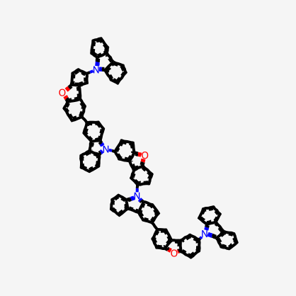 c1ccc2c(c1)c1ccccc1n2-c1ccc2oc3ccc(-c4ccc5c(c4)c4ccccc4n5-c4ccc5oc6ccc(-n7c8ccccc8c8cc(-c9ccc%10oc%11ccc(-n%12c%13ccccc%13c%13ccccc%13%12)cc%11c%10c9)ccc87)cc6c5c4)cc3c2c1